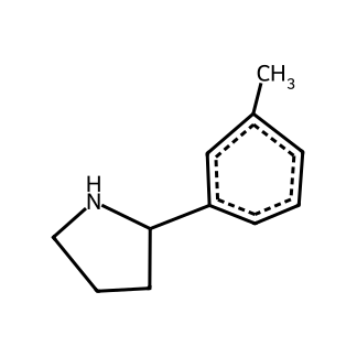 Cc1cccc(C2CCCN2)c1